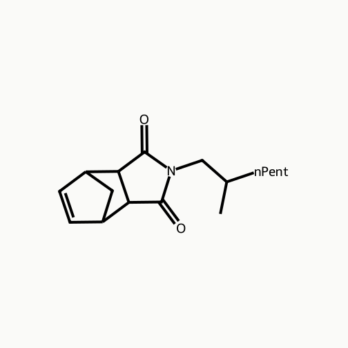 CCCCCC(C)CN1C(=O)C2C3C=CC(C3)C2C1=O